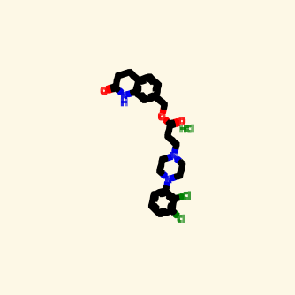 Cl.O=C1CCc2ccc(COC(=O)CCN3CCN(c4cccc(Cl)c4Cl)CC3)cc2N1